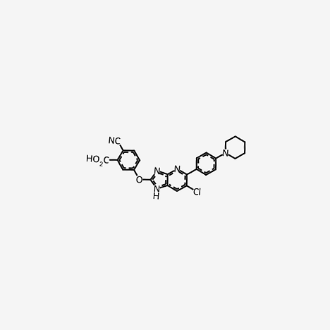 N#Cc1ccc(Oc2nc3nc(-c4ccc(N5CCCCC5)cc4)c(Cl)cc3[nH]2)cc1C(=O)O